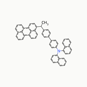 CC(c1ccc(-c2ccc(N(c3cccc4ccccc34)c3cccc4ccccc34)cc2)cc1)c1ccc2c3cccc4cccc(c5cccc1c52)c43